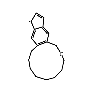 [CH]1C=Cc2cc3c(cc21)CCCCCCCCCC3